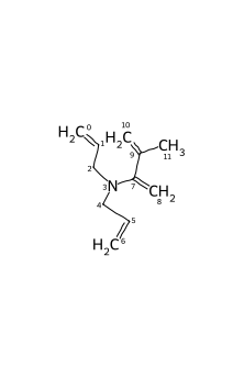 C=CCN(CC=C)C(=C)C(=C)C